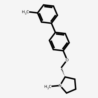 Cc1cccc(-c2ccc(OC[C@@H]3CCCN3C)cc2)c1